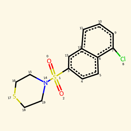 O=S(=O)(c1ccc2c(Cl)cccc2c1)N1CCSCC1